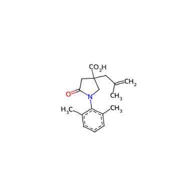 C=C(C)CC1(C(=O)O)CC(=O)N(c2c(C)cccc2C)C1